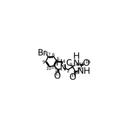 CC1(CN2Cc3cc(Br)ccc3C2=O)NC(=O)NC1=O